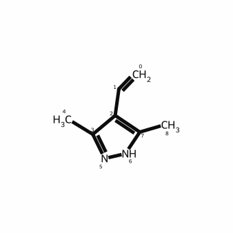 C=Cc1c(C)n[nH]c1C